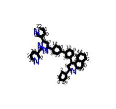 c1ccc(-c2cc(-c3cccc(-c4ccc(-c5cc(-c6cccnc6)nc(-c6cccnc6)n5)cc4)c3)c3c(ccc4ccccc43)n2)cc1